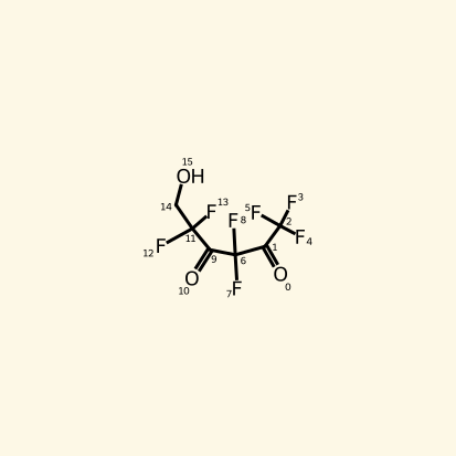 O=C(C(F)(F)F)C(F)(F)C(=O)C(F)(F)CO